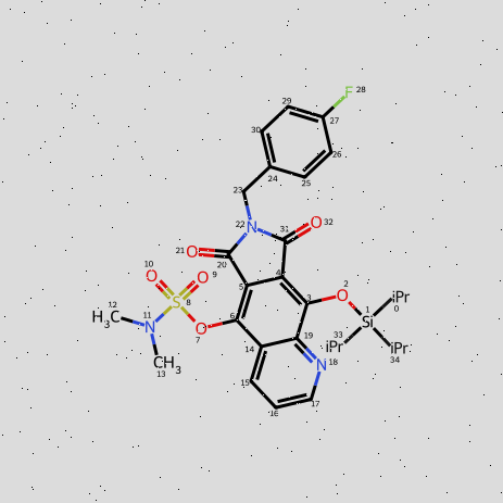 CC(C)[Si](Oc1c2c(c(OS(=O)(=O)N(C)C)c3cccnc13)C(=O)N(Cc1ccc(F)cc1)C2=O)(C(C)C)C(C)C